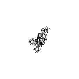 CC(C)(C)OC(=O)N1CC[C@@H](Nc2ncnc(N(Cc3ccccc3)Cc3ccccc3)c2[N+](=O)[O-])C(F)(F)C1